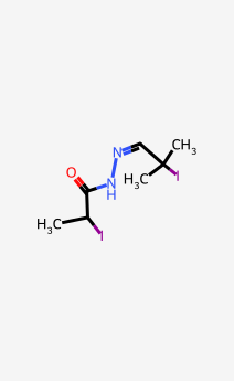 CC(I)C(=O)N/N=C\C(C)(C)I